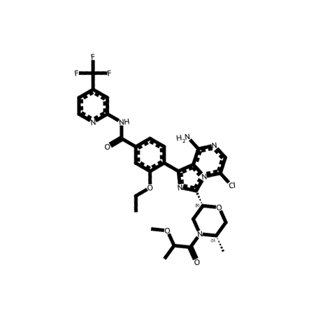 CCOc1cc(C(=O)Nc2cc(C(F)(F)F)ccn2)ccc1-c1nc([C@H]2CN(C(=O)C(C)OC)[C@@H](C)CO2)n2c(Cl)cnc(N)c12